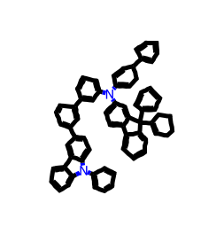 C1=CC(c2ccccc2)CC=C1N(c1cccc(-c2cccc(-c3ccc4c(c3)c3ccccc3n4-c3ccccc3)c2)c1)c1ccc2c(c1)C(C1=CCCCC1)(c1ccccc1)c1ccccc1-2